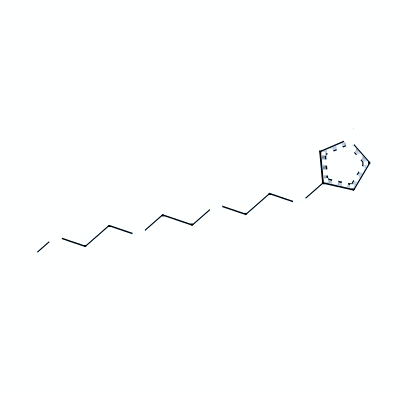 COCCOCCOCCOc1ccsc1